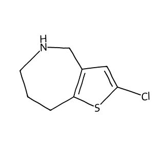 Clc1cc2c(s1)CCCNC2